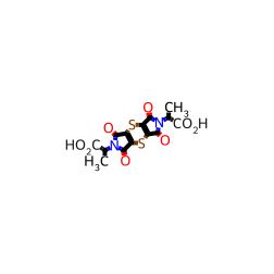 CC(C(=O)O)n1c(=O)c2sc3c(=O)n(C(C)C(=O)O)c(=O)c3sc2c1=O